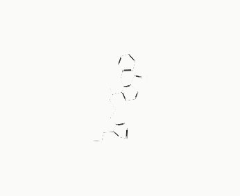 CCCc1ccccc1CCCC(C)c1cccc([C]=O)c1Cc1ccccc1